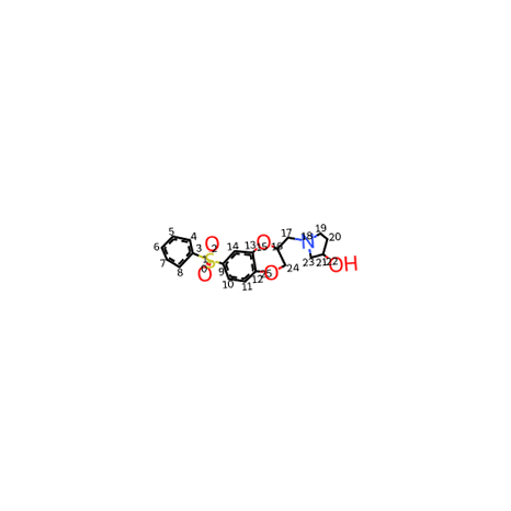 O=S(=O)(c1ccccc1)c1ccc2c(c1)OC(CN1CCC(O)C1)CO2